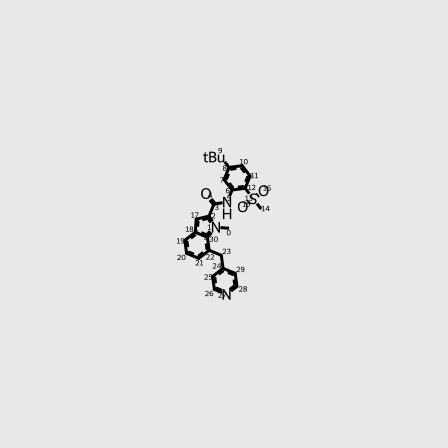 Cn1c(C(=O)Nc2cc(C(C)(C)C)ccc2S(C)(=O)=O)cc2cccc(Cc3ccncc3)c21